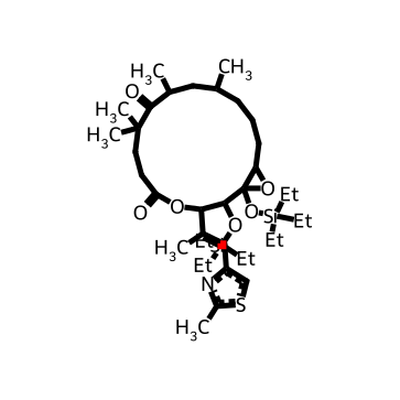 CC[Si](CC)(CC)OC1C(C(C)=Cc2csc(C)n2)OC(=O)CCC(C)(C)C(=O)C(C)CC(C)CCCC2OC21O[Si](CC)(CC)CC